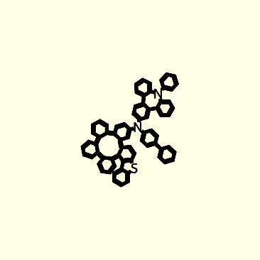 c1ccc(-c2ccc(N(c3ccc4c(c3)-c3ccccc3N(c3ccccc3)c3ccccc3-4)c3ccc4c5ccccc5c5ccccc5c5ccccc5c5c(ccc6sc7ccccc7c65)c4c3)cc2)cc1